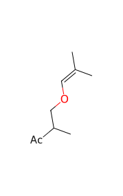 CC(=O)C(C)COC=C(C)C